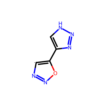 [c]1nnoc1-c1c[nH]nn1